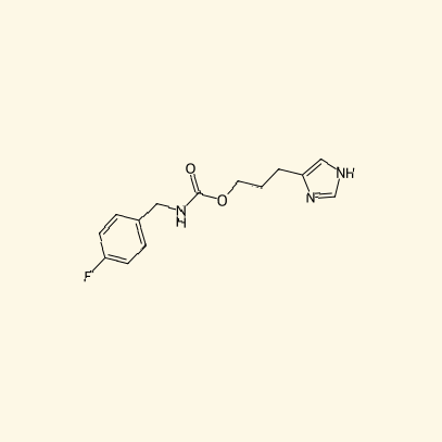 O=C(NCc1ccc(F)cc1)OCCCc1c[nH]cn1